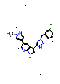 Cn1cc(-c2cnc3[nH]cc(-c4cn(Cc5cccc(F)c5)nn4)c3c2)cn1